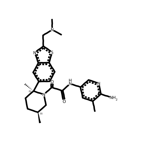 Cc1cc(NC(=O)C(=O)N2C[C@@H](C)CC[C@@]2(C)c2ccc3sc(CN(C)C)nc3c2)cnc1N